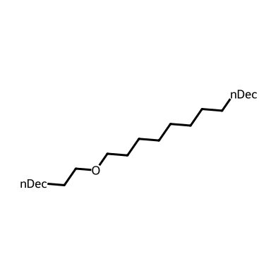 CCCCCCCCCCCCCCCCCCOCCCCCCCCCCCC